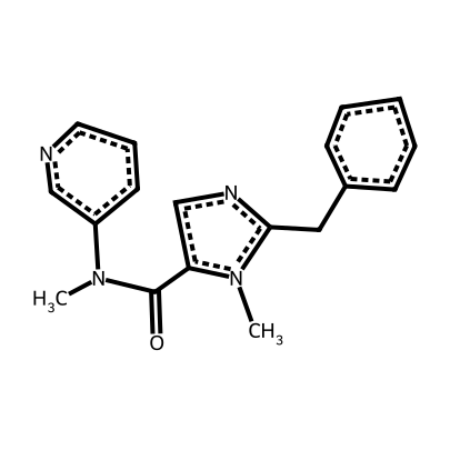 CN(C(=O)c1cnc(Cc2ccccc2)n1C)c1cccnc1